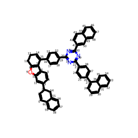 C1=CC(c2ccc3c4c(oc3c2)CCC=C4c2ccc(-c3nc(-c4ccc(-c5cccc6ccccc56)cc4)nc(-c4ccc5ccccc5c4)n3)cc2)Cc2ccccc21